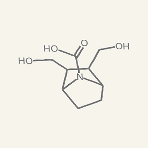 O=C(O)N1C2CCC1C(CO)C2CO